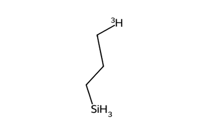 [3H]CCC[SiH3]